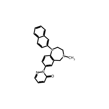 CN1CCN(c2ccc3ccccc3c2)c2ccc(-n3ncccc3=O)cc2C1